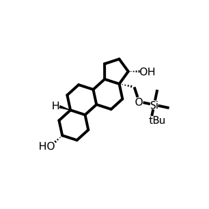 CC(C)(C)[Si](C)(C)OC[C@]12CCC3C(CC[C@H]4C[C@@H](O)CCC34)C1CC[C@@H]2O